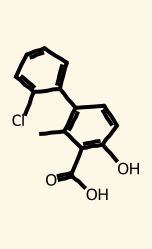 Cc1c(-c2ccccc2Cl)ccc(O)c1C(=O)O